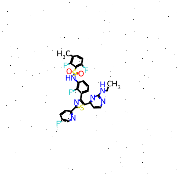 CCNc1nccc(-c2sc(-c3ccc(F)cn3)nc2-c2cccc(NS(=O)(=O)c3c(F)ccc(C)c3F)c2F)n1